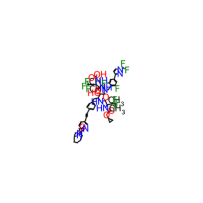 CC(C)(C(NC(=O)O)C(=O)NN(Cc1c(F)cc(-c2ccn(C(F)F)n2)cc1F)CC(O)C(Cc1ccc(C#Cc2ccc(N3CC4CCC(C3)N4C3COC3)nc2)cc1)NC(=O)C(NC(=O)OC1CC1)C(C)(C)C(F)(F)F)C(F)(F)F